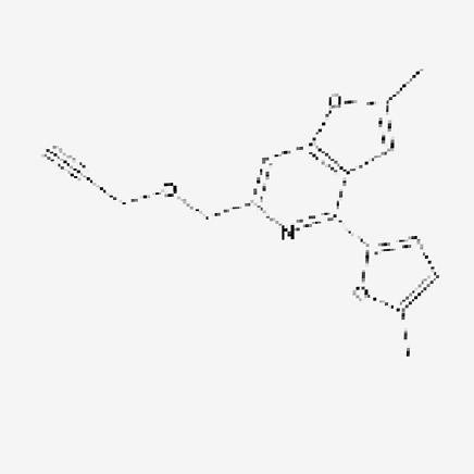 C#CCOCc1cc2oc(C)cc2c(-c2ccc(C)o2)n1